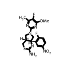 COc1nc(N2C[C@H]3CSC(N)=N[C@@]3(c3cc([N+](=O)[O-])ccc3F)C2)nc(C)c1F